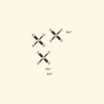 O=S(=O)([O-])[O-].O=S(=O)([O-])[O-].O=S(=O)([O-])[O-].[Fe+2].[Fe+2].[Fe+2]